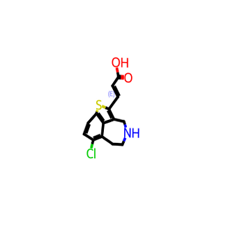 O=C(O)/C=C/c1sc2ccc(Cl)c3c2c1CNCC3